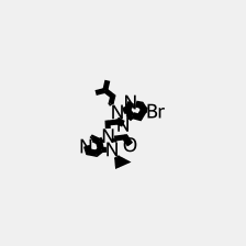 CC(C)CCn1c(CN2c3cnccc3N(C3CC3)C2C=O)nc2cc(Br)cnc21